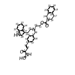 O=C(/C=C/c1ccc(CN(CCOC(=O)N2CCc3ccccc3C2)CCc2c[nH]c3ccccc23)cc1)NO